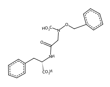 O=C(CN(OCc1ccccc1)C(=O)O)N[C@@H](Cc1ccccc1)C(=O)O